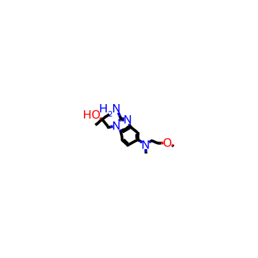 COCCN(C)c1ccc2c(c1)nc(N)n2CC(C)(C)O